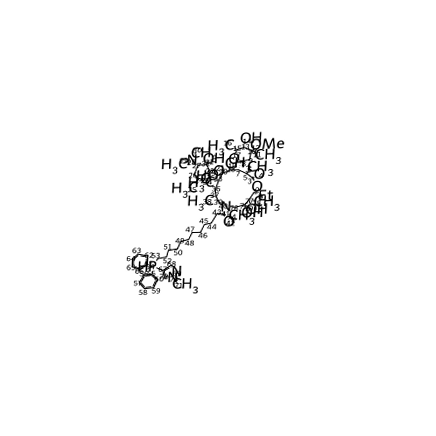 CC[C@H]1OC(=O)[C@H](C)[C@@H](C2C[C@@](C)(OC)[C@@H](O)[C@H](C)O2)[C@H](C)[C@@H](O[C@@H]2O[C@H](C)C[C@H](N(C)C)[C@H]2O)[C@](C)(O)C[C@@H](C)CN(C(=O)CCCCCCCCCCC[PH](c2ccccc2)(c2ccccc2)c2cnn(C)c2)[C@H](C)[C@@H](O)[C@]1(C)O